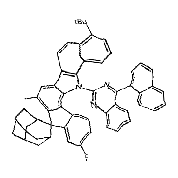 Cc1cc2c3ccc4c(C(C)(C)C)cccc4c3n(-c3nc(-c4cccc5ccccc45)c4ccccc4n3)c2c2c1C1(c3cc(F)ccc3-2)C2CC3CC(C2)CC1C3